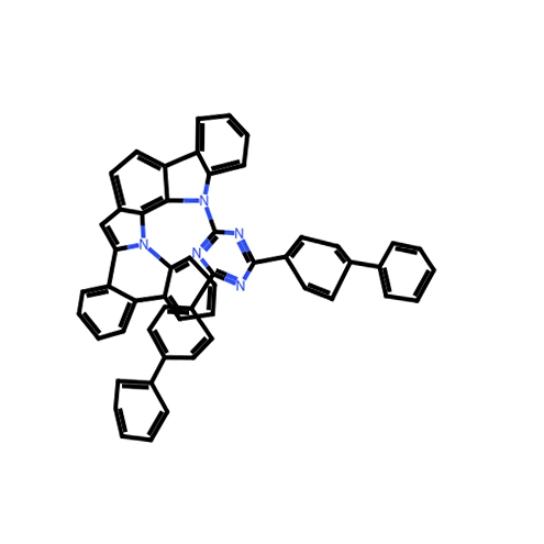 c1ccc(-c2ccc(-c3nc(-c4ccc(-c5ccccc5)cc4)nc(-n4c5ccccc5c5ccc6cc7c8ccccc8c8ccccc8n7c6c54)n3)cc2)cc1